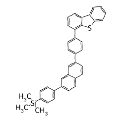 C[Si](C)(C)c1ccc(-c2ccc3ccc(-c4ccc(-c5cccc6c5sc5ccccc56)cc4)cc3c2)cc1